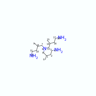 CC(CCN)CN(CC(C)CCN)CC(C)CCN